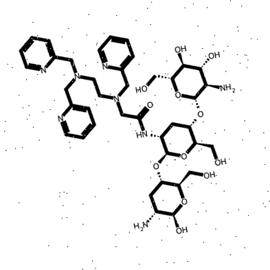 N[C@H]1[C@H](O[C@H]2C[C@@H](NC(=O)CN(CCN(Cc3ccccn3)Cc3ccccn3)Cc3ccccn3)[C@H](O[C@H]3C[C@@H](N)[C@H](O)O[C@@H]3CO)O[C@@H]2CO)O[C@H](CO)[C@@H](O)[C@@H]1O